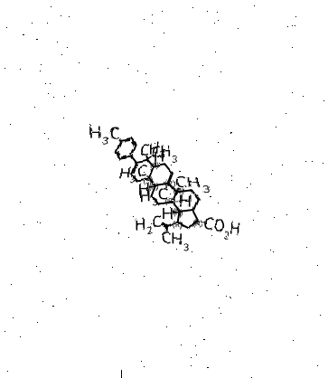 C=C(C)[C@@H]1C[C@@H](C(=O)O)C2CC[C@]3(C)[C@H](CC[C@@H]4[C@@]5(C)CC=C(c6ccc(C)cc6)C(C)(C)[C@@H]5CC[C@]43C)[C@H]21